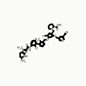 Cc1c(COc2cc(OCc3cncc(C#N)c3)c(CN3CCCC[C@H]3C(=O)O)cc2Cl)cccc1-c1cccc(NC(=O)c2nc3c(n2C)CCC(C)N3)c1Cl